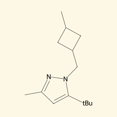 Cc1cc(C(C)(C)C)n(CC2CC(C)C2)n1